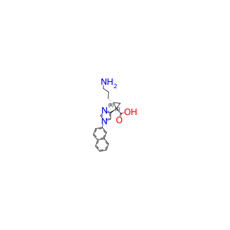 NCCC[C@@H]1C[C@@]1(C(=O)O)c1cn(-c2ccc3ccccc3c2)cn1